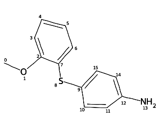 COc1ccccc1Sc1ccc(N)cc1